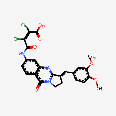 COc1ccc(/C=C2\CCn3c2nc2cc(NC(=O)/C(Cl)=C(/Cl)C(=O)O)ccc2c3=O)cc1OC